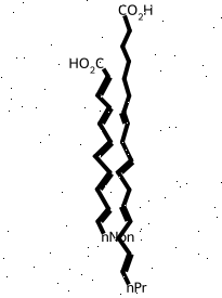 CCC/C=C/C/C=C/C/C=C/C/C=C/CCCCCC(=O)O.CCCCCCCCC/C=C/C=C/C=C/C=C/C=C/C(=O)O